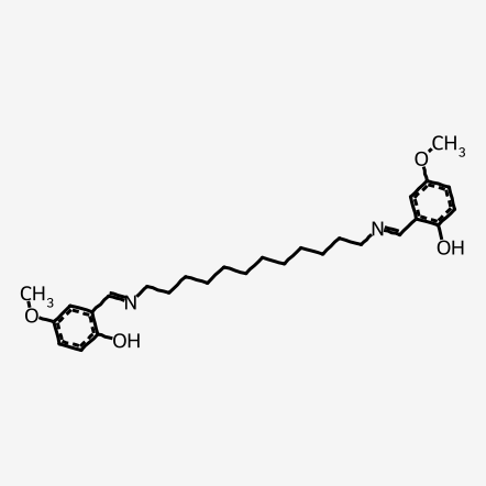 COc1ccc(O)c(/C=N/CCCCCCCCCCCC/N=C/c2cc(OC)ccc2O)c1